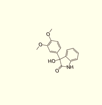 COc1ccc(C2(O)C(=O)Nc3ccccc32)cc1OC